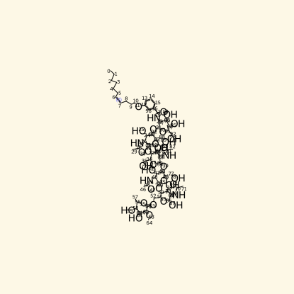 CCCCCC/C=C\CCCOc1cccc(C(=O)N[C@@H]2C(O[C@H]3C(O)C(NC(C)=O)[C@H](OC4C(CO)O[C@@H](O[C@H]5C(O)C(NC(C)=O)C(OC6C(CO[C@@H]7OC(C)C(O)[C@H](O)[C@H]7OC)OC(O)[C@@H](NC(C)=O)[C@H]6O)O[C@H]5CO)[C@@H](NC(C)=O)[C@H]4O)O[C@H]3CO)OC(CO)[C@@H](O)[C@@H]2O)c1